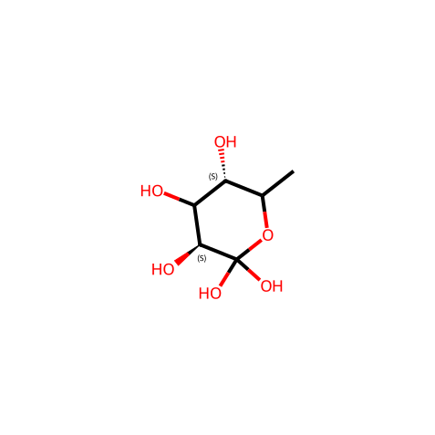 CC1OC(O)(O)[C@@H](O)C(O)[C@@H]1O